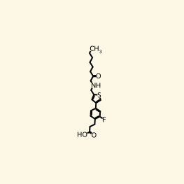 CCCCCCC(=O)CNCc1cc(-c2ccc(CCC(=O)O)c(F)c2)cs1